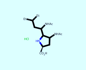 CCC(CC)CC(NC(C)=O)C1N[C@H](C(=O)O)CC1NC(C)=O.Cl